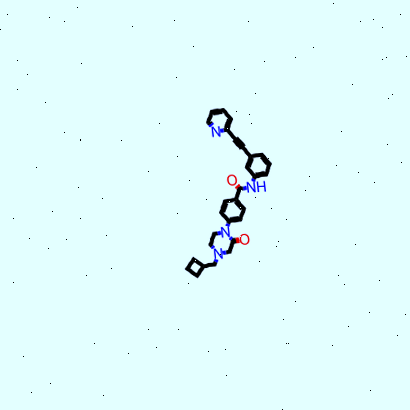 O=C(Nc1cccc(C#Cc2ccccn2)c1)c1ccc(N2CCN(CC3CCC3)CC2=O)cc1